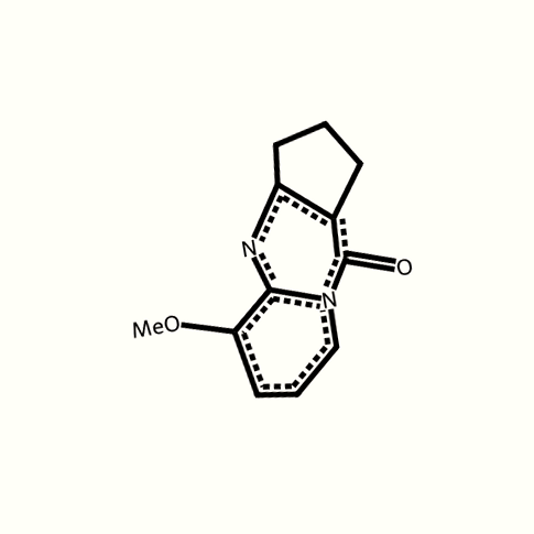 COc1cccn2c(=O)c3c(nc12)CCC3